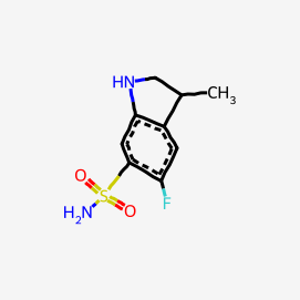 CC1CNc2cc(S(N)(=O)=O)c(F)cc21